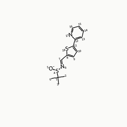 CC(C)(C)[S@@+]([O-])/N=C/c1ccc(-c2ccccn2)s1